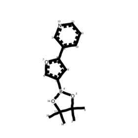 CC1(C)OB(c2coc(-c3cccnc3)c2)OC1(C)C